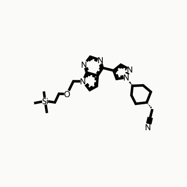 C[Si](C)(C)CCOCn1ccc2c(-c3cnn([C@H]4CC[C@@H](CC#N)CC4)c3)ncnc21